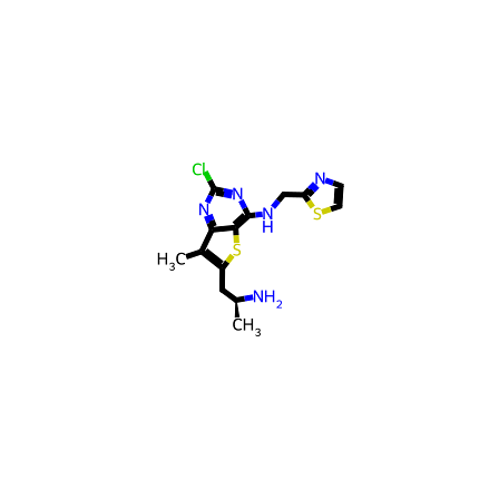 Cc1c(C[C@H](C)N)sc2c(NCc3nccs3)nc(Cl)nc12